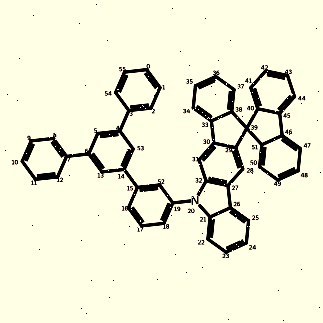 c1ccc(-c2cc(-c3ccccc3)cc(-c3cccc(-n4c5ccccc5c5cc6c(cc54)-c4ccccc4C64c5ccccc5-c5ccccc54)c3)c2)cc1